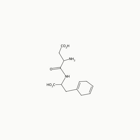 NC(CC(=O)O)C(=O)NC(CC1=CCC=CC1)C(=O)O